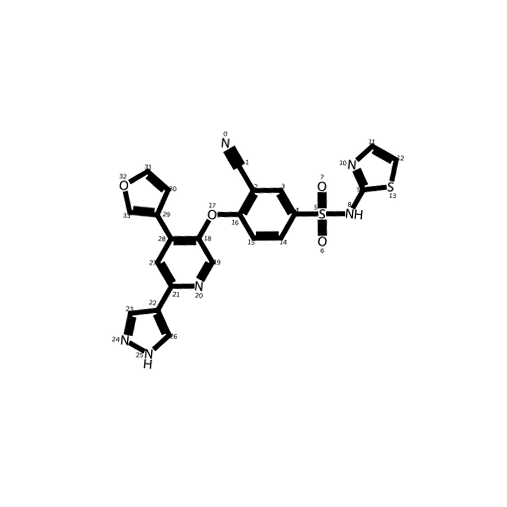 N#Cc1cc(S(=O)(=O)Nc2nccs2)ccc1Oc1cnc(-c2cn[nH]c2)cc1-c1ccoc1